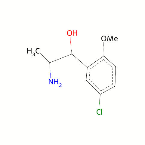 COc1ccc(Cl)cc1C(O)C(C)N